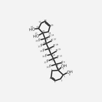 OC1CC=CCC1(O)C(F)(F)C(F)(F)C(F)(F)C(F)(F)C(F)(F)C(F)(F)C1(O)CC=CCC1O